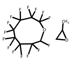 CC1CO1.FC1OC(F)(F)C(F)(F)C(F)(F)C(F)(F)C(F)(F)C(F)(F)C1(F)F